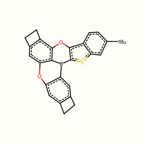 CC(C)(C)c1ccc2c3c(sc2c1)B1c2cc4c(cc2Oc2cc5c(c(c21)O3)CC5)CC4